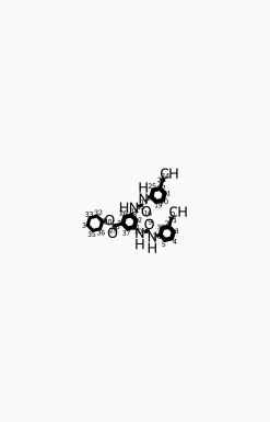 C#Cc1cccc(NC(=O)Nc2cc(NC(=O)Nc3cccc(C#C)c3)cc(C(=O)OC3CCCCC3)c2)c1